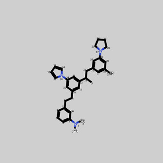 CCN(CC)c1cccc(CCc2cc(C(C)Cc3cc(C(C)C)cc(N4CCCC4)c3)cc(-n3cccc3)c2)c1